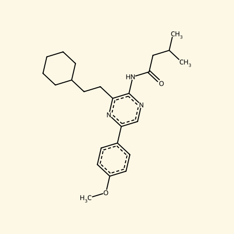 COc1ccc(-c2cnc(NC(=O)CC(C)C)c(CCC3CCCCC3)n2)cc1